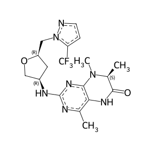 Cc1nc(N[C@H]2CO[C@@H](Cn3nccc3C(F)(F)F)C2)nc2c1NC(=O)[C@H](C)N2C